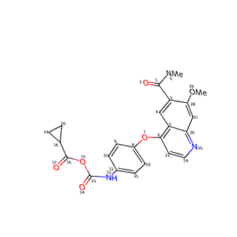 CNC(=O)c1cc2c(Oc3ccc(NC(=O)OC(=O)C4CC4)cc3)ccnc2cc1OC